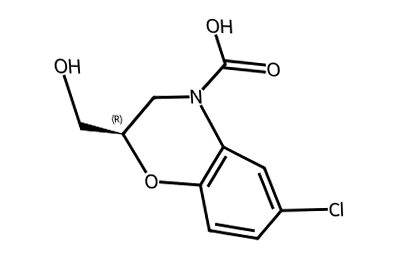 O=C(O)N1C[C@H](CO)Oc2ccc(Cl)cc21